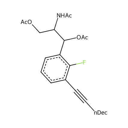 CCCCCCCCCCC#Cc1cccc(C(OC(C)=O)C(COC(C)=O)NC(C)=O)c1F